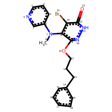 CN(c1cccnc1)c1c(OCCCc2ccccc2)n[nH]c(=O)c1Br